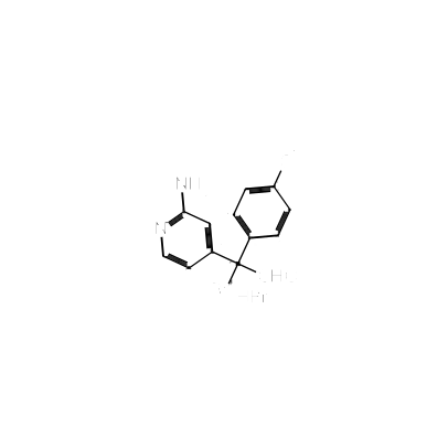 Br.Nc1cc(C(Br)(C=O)c2ccc(Cl)cc2)ccn1